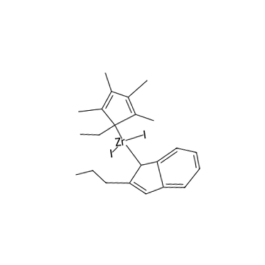 CCCC1=Cc2ccccc2[CH]1[Zr]([I])([I])[C]1(CC)C(C)=C(C)C(C)=C1C